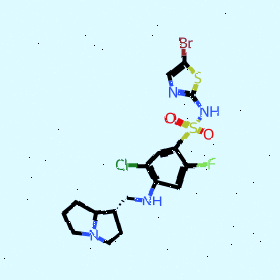 O=S(=O)(Nc1ncc(Br)s1)c1cc(Cl)c(NC[C@@H]2CCN3CCCC23)cc1F